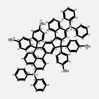 CC(C)(C)c1ccc(C2(c3ccc(C(C)(C)C)cc3)c3cc4c(cc3-c3c2cc(N(c2ccccc2)c2ccccc2)c2ccccc32)C(c2ccc(C(C)(C)C)cc2)(c2ccc(C(C)(C)C)cc2)c2cccc3c(N(c5ccccc5)c5ccccc5)ccc-4c23)cc1